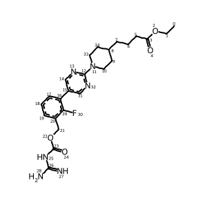 CCOC(=O)CCCC1CCN(c2ncc(-c3cccc(COC(=O)NC(=N)N)c3F)cn2)CC1